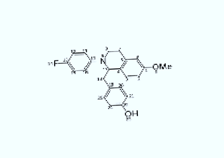 COc1ccc2c(c1)CCN(c1ccc(F)cc1)C2Cc1ccc(O)cc1